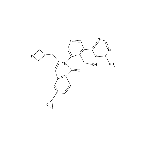 Nc1cc(-c2cccc(-n3c(CC4CNC4)cc4cc(C5CC5)ccc4c3=O)c2CO)ncn1